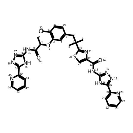 CC(Oc1cc(CC(C)(C)c2nc(C(=O)Nc3nnc(-c4ccccn4)[nH]3)cs2)ccc1Cl)C(=O)Nc1nnc(-c2ccccn2)[nH]1